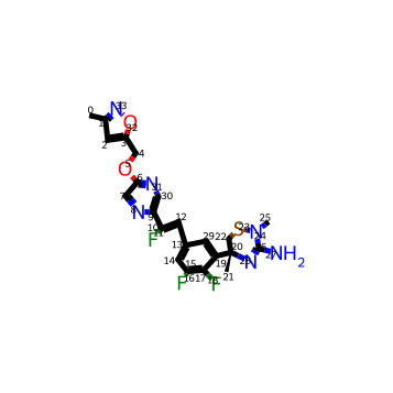 Cc1cc(COc2cnc(/C(F)=C/c3cc(F)c(F)c([C@]4(C)CSN(C)C(N)=N4)c3)cn2)on1